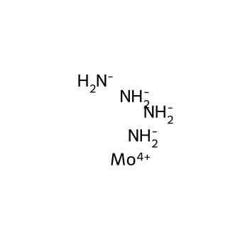 [Mo+4].[NH2-].[NH2-].[NH2-].[NH2-]